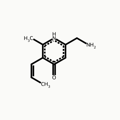 C/C=C\c1c(C)[nH]c(CN)cc1=O